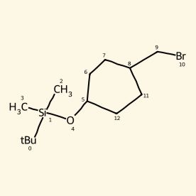 CC(C)(C)[Si](C)(C)OC1CCC(CBr)CC1